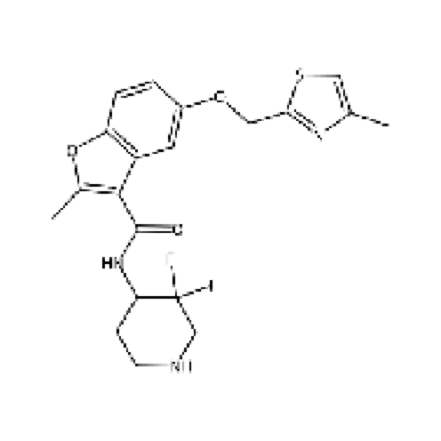 Cc1csc(COc2ccc3oc(C)c(C(=O)NC4CCNCC4(F)F)c3c2)n1